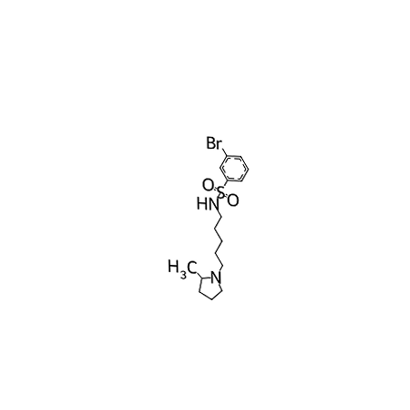 CC1CCCN1CCCCCNS(=O)(=O)c1cccc(Br)c1